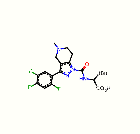 CN1CCc2c(c(-c3cc(F)c(F)cc3F)nn2C(=O)NC(C(=O)O)C(C)(C)C)C1